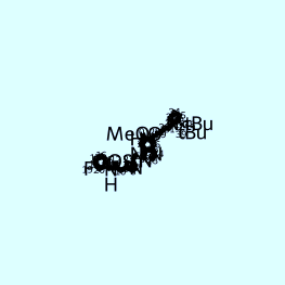 COc1cc2c(Nc3ncc(CC(=O)Nc4cccc(F)c4)s3)ncnc2cc1OCCCN1CCC[C@@H]1C(C(C)(C)C)C(C)(C)C